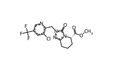 COC(=O)[C@@H]1CCCc2nn(Cc3ncc(C(F)(F)F)cc3Cl)c(=O)n21